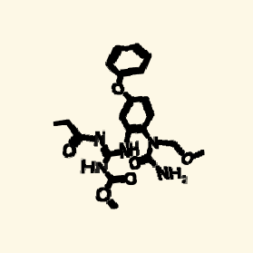 CCC(=O)N=C(NC(=O)OC)Nc1cc(Oc2ccccc2)ccc1N(COC)C(N)=O